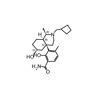 Cc1ccc(C(N)=O)c(O)c1[C@]12CCN(CC3CCC3)[C@H](C)[C@@H]1CC[C@H](O)C2